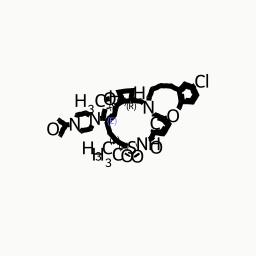 CO[C@]1(CCN2CCN(C3COC3)CC2)/C=C/C[C@H](C)[C@@H](C)S(=O)(=O)NC(=O)c2ccc3c(c2)N(CCCCc2cc(Cl)ccc2CO3)C[C@@H]2CC[C@H]21